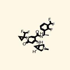 C[C@@H](NC(=O)c1cn(C2(C(F)F)CC2)c(=O)cc1N[C@@]12C[C@@H]1CN(C)C2)c1cccc(C(F)F)c1F